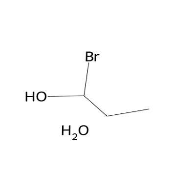 CCC(O)Br.O